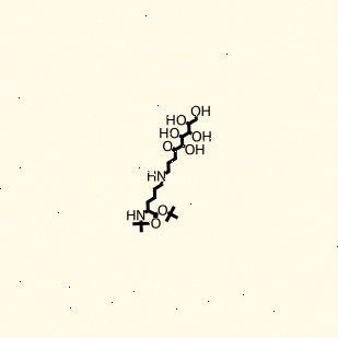 CC(C)(C)NC(CCCCNCCCC(=O)C(O)C(O)C(O)C(O)CO)C(=O)OC(C)(C)C